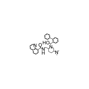 CN(C)C1CCC(CNC(=O)c2cccc3cccnc23)N(C(O)c2ccccc2-c2ccccc2)C1